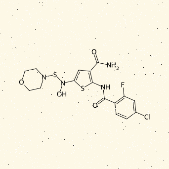 NC(=O)c1cc(N(O)SN2CCOCC2)sc1NC(=O)c1ccc(Cl)cc1F